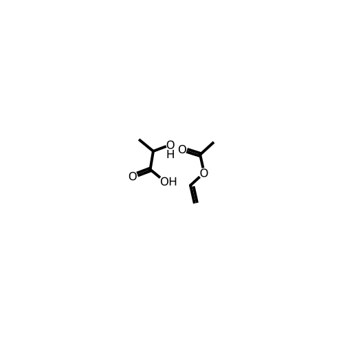 C=COC(C)=O.CC(O)C(=O)O